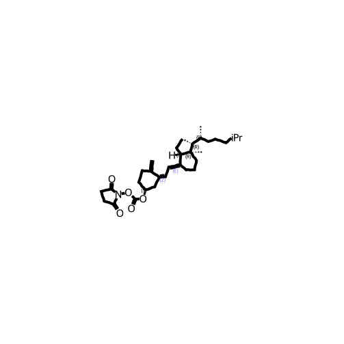 C=C1CC[C@H](OC(=O)ON2C(=O)CCC2=O)C/C1=C/C=C1\CCC[C@]2(C)[C@@H]([C@H](C)CCCC(C)C)CC[C@@H]12